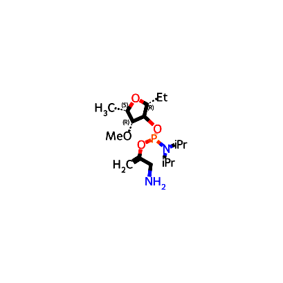 C=C(CN)OP(OC1[C@@H](CC)O[C@@H](C)[C@H]1OC)N(C(C)C)C(C)C